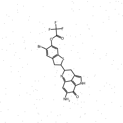 NC1=CC2=NC(C3Cc4cc(Br)c(OC(=O)C(F)(F)F)cc4S3)Cc3c[nH]c(c32)C1=O